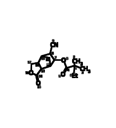 CCC(C)(C)C(=O)OC1C(C#N)C2CC1C1C(=O)OCC21